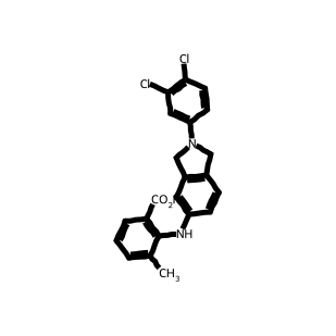 Cc1cccc(C(=O)O)c1Nc1ccc2c(c1)CN(c1ccc(Cl)c(Cl)c1)C2